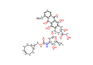 COc1cccc2c1C(=O)c1c(O)c3c(c(O)c1C2=O)C[C@@](O)(C(=O)CO)C[C@@H]3O[C@H]1C[C@H](NC(=O)OCC2C3CC/C=C\CCC32)[C@@H](O)[C@H](C)O1